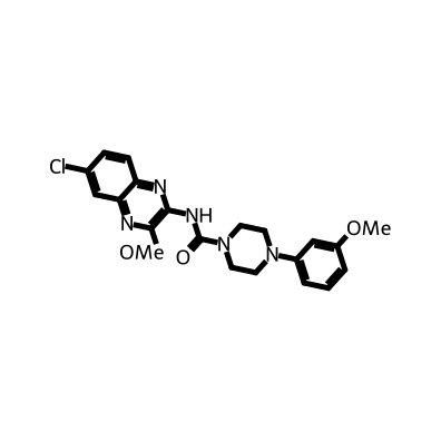 COc1cccc(N2CCN(C(=O)Nc3nc4ccc(Cl)cc4nc3OC)CC2)c1